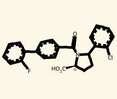 O=C(O)[C@@H]1CCC(c2ccccc2Cl)N1C(=O)c1ccc(-c2ccccc2F)cc1